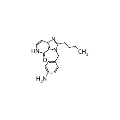 CCCCc1nc2cc[nH]c(=O)c2n1Cc1ccc(N)cc1